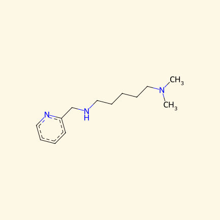 CN(C)CCCCCNCc1ccccn1